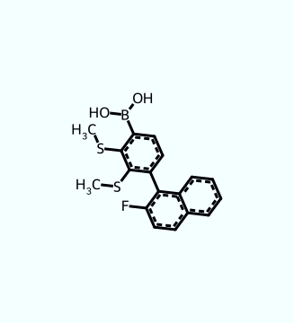 CSc1c(B(O)O)ccc(-c2c(F)ccc3ccccc23)c1SC